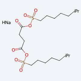 CC(C)CCCCCS(=O)(=O)OC(=O)CCC(=O)OS(=O)(=O)CCCCCC(C)C.[NaH]